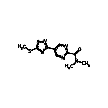 CSc1nc(-c2cnc(C(=O)N(C)C)nc2)ns1